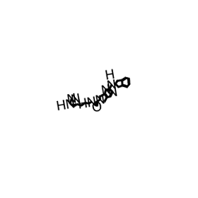 O=C(NCCCc1c[nH]nn1)N1Cc2cnc(NC3Cc4ccccc4C3)nc2C1